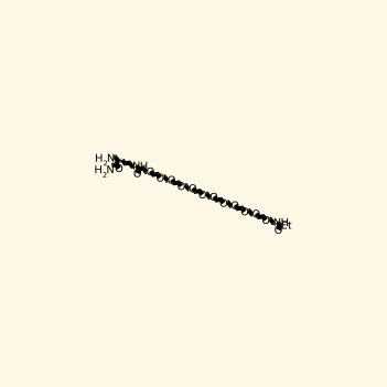 CCC(=O)NCCOCCOCCOCCOCCOCCOCCOCCOCCOCCOCCOCCOCCC(=O)NCCCC[C@@H](CN)C(=O)CN